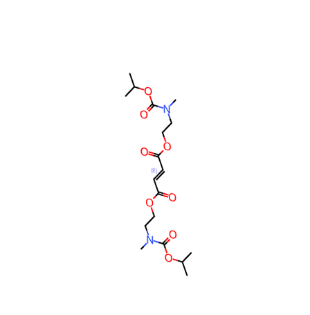 CC(C)OC(=O)N(C)CCOC(=O)/C=C/C(=O)OCCN(C)C(=O)OC(C)C